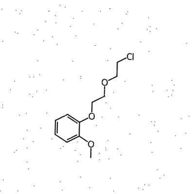 COc1ccccc1OCCOCCCl